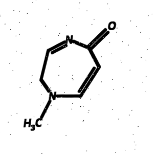 CN1C=CC(=O)N=CC1